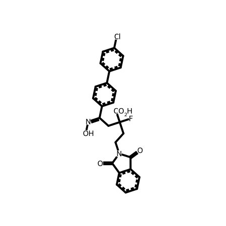 O=C1c2ccccc2C(=O)N1CCC(F)(C/C(=N\O)c1ccc(-c2ccc(Cl)cc2)cc1)C(=O)O